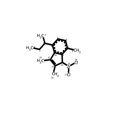 CCC(C)c1ccc(C)c2c1C(C)=C(C)[CH]2[Zr]([Cl])[Cl]